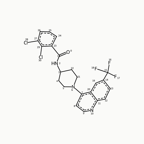 O=C(NC1CCN(c2ccnc3ccc(C(F)(F)F)cc23)CC1)c1cccc(Cl)c1Cl